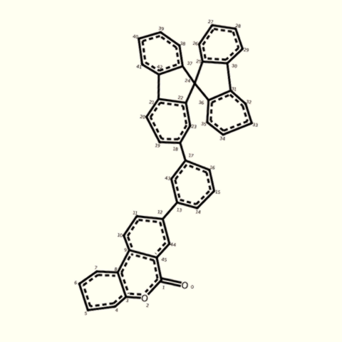 O=c1oc2ccccc2c2ccc(-c3cccc(-c4ccc5c(c4)C4(c6ccccc6-c6ccccc64)c4ccccc4-5)c3)cc12